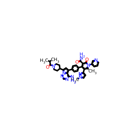 Cc1c(-c2ccn(C)n2)c(-c2ccc(-c3cc(C4CCN(C(=O)C(C)C)CC4)n4ncnc(N)c34)cc2)c(C(N)=O)c(=O)n1-c1cccnc1